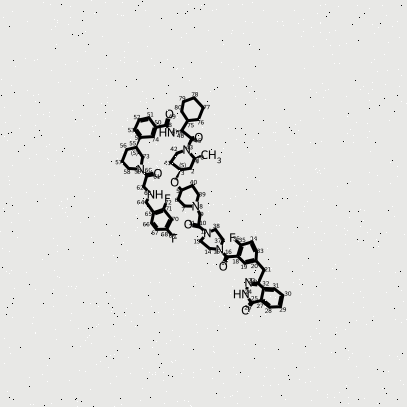 C[C@H]1C[C@@H](OC2CCN(CC(=O)N3CCN(C(=O)c4cc(Cc5n[nH]c(=O)c6ccccc56)ccc4F)CC3)CC2)CCN1C(=O)[C@H](NC(=O)c1cccc([C@@H]2CCCN(C(=O)CNCc3ccc(F)cc3F)C2)c1)C1CCCCC1